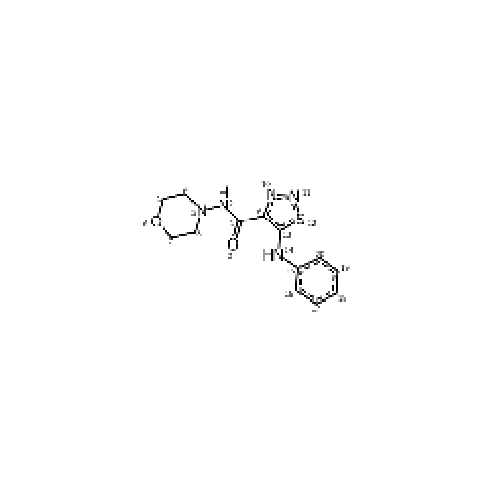 O=C(NN1CCOCC1)c1nnsc1Nc1ccccc1